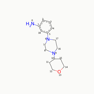 Nc1cccc(N2CCN(C3CCOCC3)CC2)c1